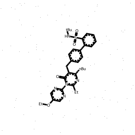 CCCCc1nc(CC)n(-c2ncc(OCC)cn2)c(=O)c1Cc1ccc(-c2ccccc2S(=O)(=O)NC(C)(C)C)cc1